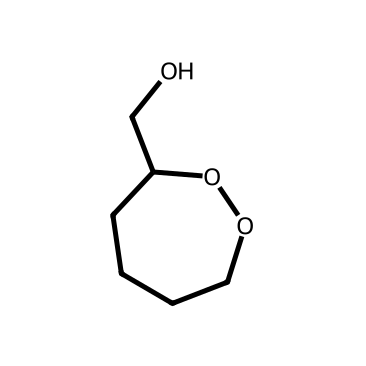 OCC1CCCCOO1